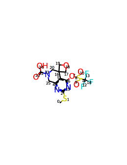 CSc1nc2c(c(OS(=O)(=O)C(F)(F)F)n1)C1(COC1)CN(C(=O)O)C2